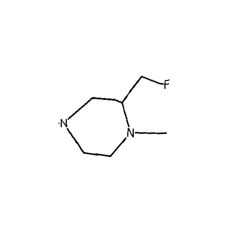 CN1CC[N]CC1CF